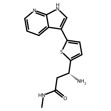 CNC(=O)C[C@@H](N)c1ccc(-c2c[nH]c3ncccc23)s1